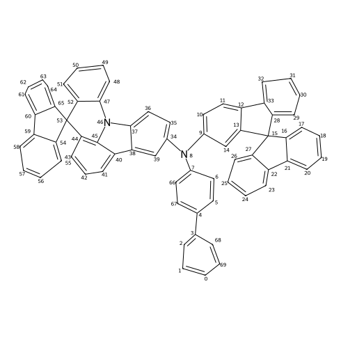 c1ccc(-c2ccc(N(c3ccc4c(c3)C3(c5ccccc5-c5ccccc53)c3ccccc3-4)c3ccc4c(c3)c3cccc5c3n4-c3ccccc3C53c4ccccc4-c4ccccc43)cc2)cc1